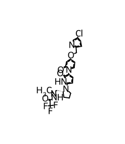 CN(C[C@H]1CCCN1c1ccc(-n2ccc(OCc3ccc(Cl)cn3)cc2=O)c(=O)[nH]1)NC(=O)C(F)(F)F